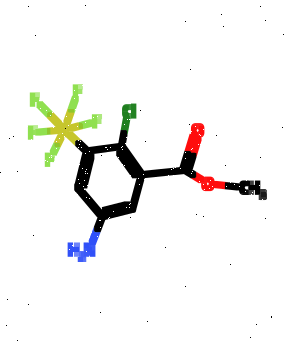 COC(=O)c1cc(N)cc(S(F)(F)(F)(F)F)c1Cl